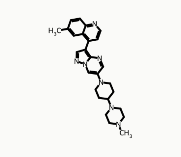 Cc1ccc2nccc(-c3cnn4cc(N5CCC(N6CCN(C)CC6)CC5)cnc34)c2c1